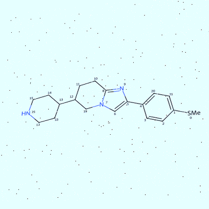 CSc1ccc(-c2cn3c(n2)CCC(C2CCNCC2)C3)cc1